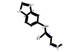 CC/C(=C\C=N/C)Nc1ccc2scnc2c1